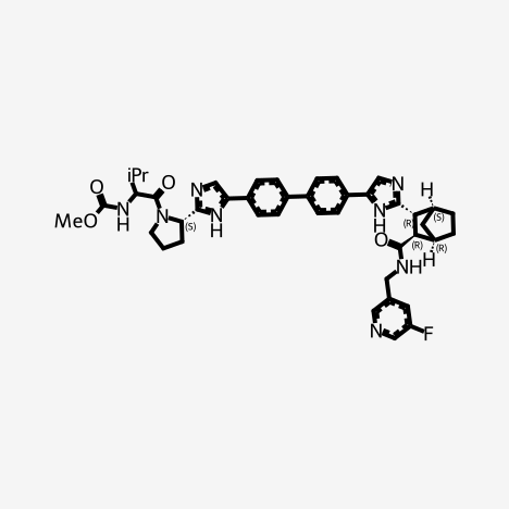 COC(=O)NC(C(=O)N1CCC[C@H]1c1ncc(-c2ccc(-c3ccc(-c4cnc([C@@H]5[C@H]6CC[C@H](C6)[C@H]5C(=O)NCc5cncc(F)c5)[nH]4)cc3)cc2)[nH]1)C(C)C